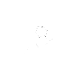 COC(=O)c1cccc(C)c1S(C)(=O)=O